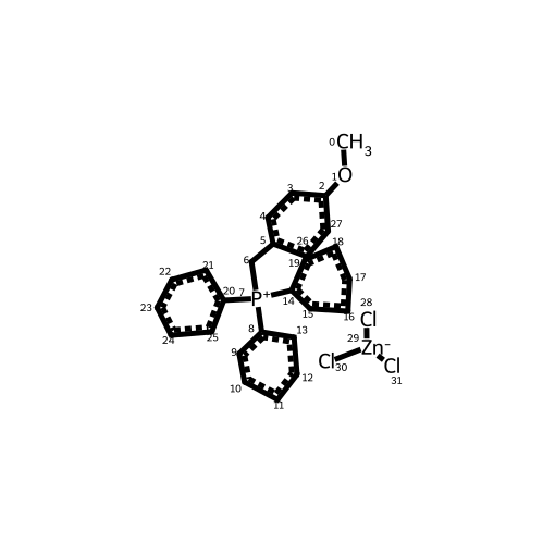 COc1ccc(C[P+](c2ccccc2)(c2ccccc2)c2ccccc2)cc1.[Cl][Zn-]([Cl])[Cl]